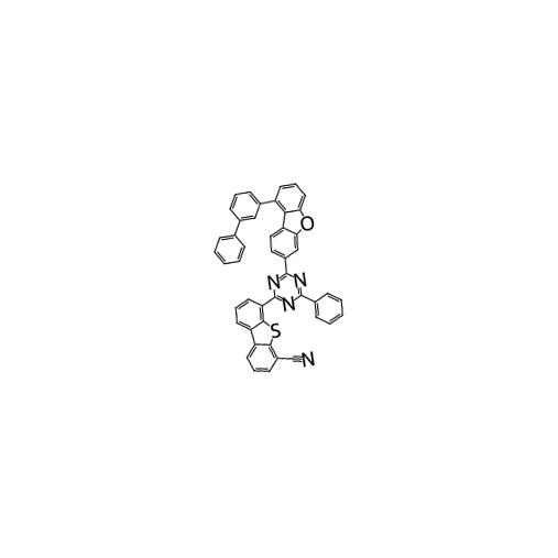 N#Cc1cccc2c1sc1c(-c3nc(-c4ccccc4)nc(-c4ccc5c(c4)oc4cccc(-c6cccc(-c7ccccc7)c6)c45)n3)cccc12